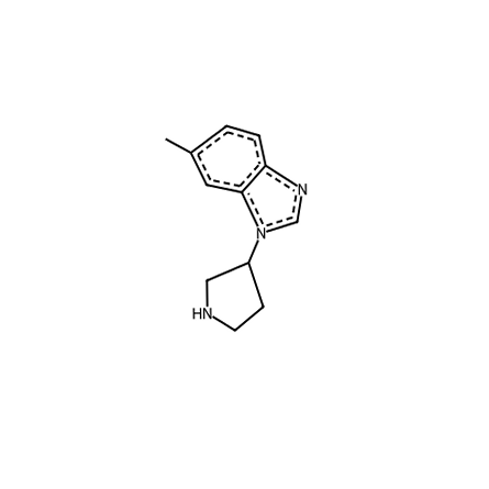 Cc1ccc2ncn(C3CCNC3)c2c1